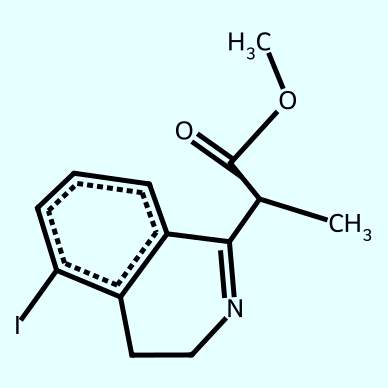 COC(=O)C(C)C1=NCCc2c(I)cccc21